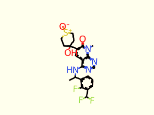 CC(Nc1ncnc2c1cc(C1(O)CC[S+]([O-])CC1)c(=O)n2C)c1cccc(C(F)F)c1F